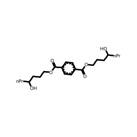 CCCC(O)CCCOC(=O)c1ccc(C(=O)OCCCC(O)CCC)cc1